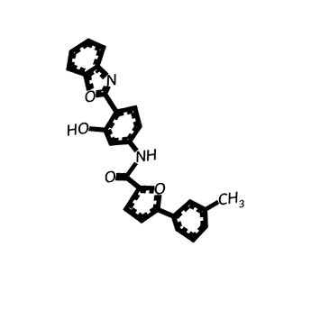 Cc1cccc(-c2ccc(C(=O)Nc3ccc(-c4nc5ccccc5o4)c(O)c3)o2)c1